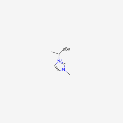 CCCCC(C)[n+]1ccn(C)c1